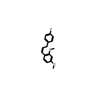 COc1ccc(/C=C\Cc2ccc(F)cc2)c(SC)c1